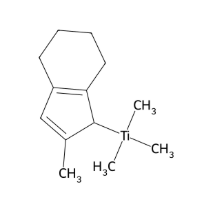 CC1=CC2=C(CCCC2)[CH]1[Ti]([CH3])([CH3])[CH3]